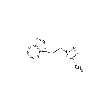 Cc1cnn(CCc2c[nH]c3ccccc23)c1